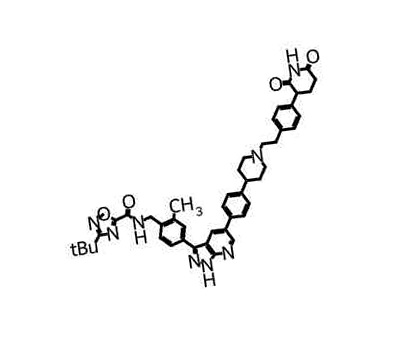 Cc1cc(-c2n[nH]c3ncc(-c4ccc(C5CCN(CCc6ccc(C7CCC(=O)NC7=O)cc6)CC5)cc4)cc23)ccc1CNC(=O)c1nc(C(C)(C)C)no1